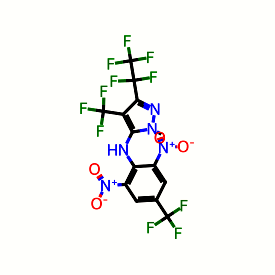 Cn1nc(C(F)(F)C(F)(F)F)c(C(F)(F)F)c1Nc1c([N+](=O)[O-])cc(C(F)(F)F)cc1[N+](=O)[O-]